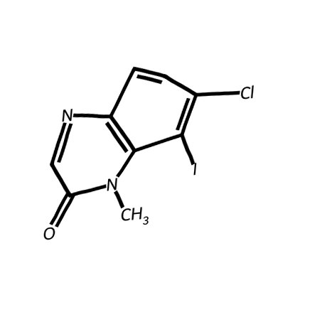 Cn1c(=O)cnc2ccc(Cl)c(I)c21